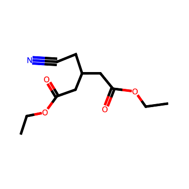 CCOC(=O)CC(CC#N)CC(=O)OCC